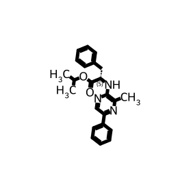 Cc1nc(-c2ccccc2)cnc1N[C@@H](Cc1ccccc1)C(=O)OC(C)C